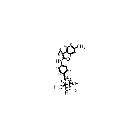 Cc1ccc(C2(C(=O)Nc3ccc(B4OC(C)(C)C(C)(C)O4)cc3)CC2)cc1